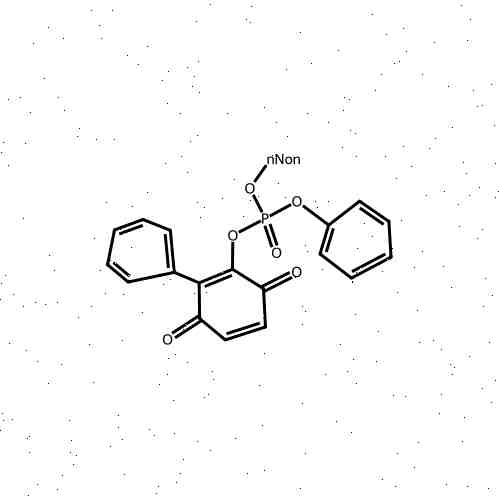 CCCCCCCCCOP(=O)(OC1=C(c2ccccc2)C(=O)C=CC1=O)Oc1ccccc1